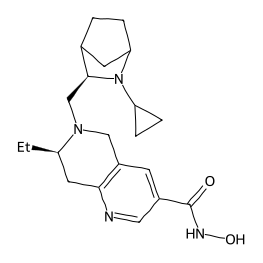 CC[C@@H]1Cc2ncc(C(=O)NO)cc2CN1C[C@H]1C2CCC(C2)N1C1CC1